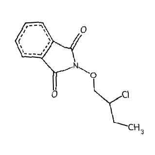 CCC(Cl)CON1C(=O)c2ccccc2C1=O